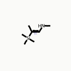 CN/C=C(\C)[Si](C)(C)C